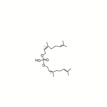 CC(C)=CCC/C(C)=C\COP(=O)(O)OC/C=C(/C)CCC=C(C)C